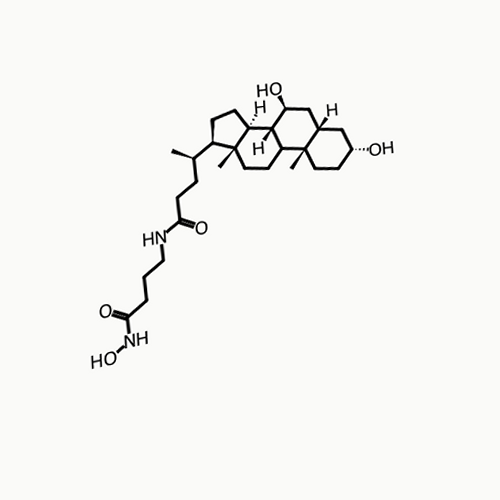 C[C@H](CCC(=O)NCCCC(=O)NO)[C@H]1CC[C@H]2[C@H]3C(CC[C@]12C)[C@@]1(C)CC[C@@H](O)C[C@H]1C[C@@H]3O